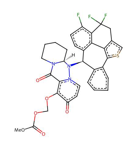 COC(=O)OCOc1c2n(ccc1=O)N([C@@H]1c3ccccc3-c3scc4c3-c3c1ccc(F)c3C(F)(F)C4)[C@@H]1CCCCN1C2=O